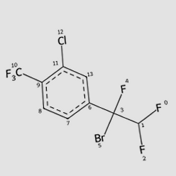 FC(F)C(F)(Br)c1ccc(C(F)(F)F)c(Cl)c1